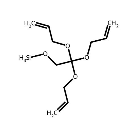 C=CCOC(CO[SiH3])(OCC=C)OCC=C